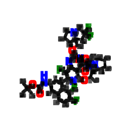 CC1Oc2nc(-c3cc(NC(=O)OC(C)(C)C)cc4ccc(F)c(F)c34)c(F)c3nc(OCC45CCCN4CC(F)(F)C5)nc(c23)N2CC3CCC(C12)N3C(=O)O